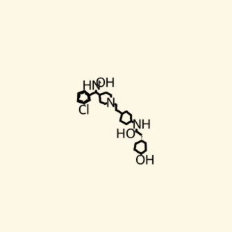 ONC(c1cccc(Cl)c1)C1CCN(CCC2CCC(NC(O)C[C@H]3CC[C@H](O)CC3)CC2)CC1